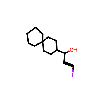 OC(/C=C/I)C1CCC2(CCCCC2)CC1